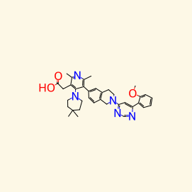 COc1ccccc1-c1cc(N2CCc3cc(-c4c(C)nc(C)c(CC(=O)O)c4N4CCC(C)(C)CC4)ccc3C2)ncn1